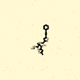 Cc1cc([C@H](O)C(C)(NCc2cc(C#Cc3ccccc3)on2)C(=O)NO)no1